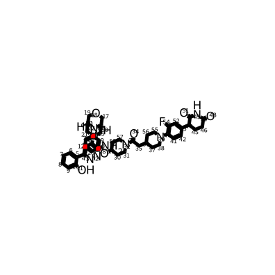 Nc1nnc(-c2ccccc2O)cc1N1C[C@H]2COC[C@@H](C1)N2c1cccc(OC2CCN(C(=O)CC3CCN(c4ccc(C5CCC(=O)NC5=O)cc4F)CC3)CC2)c1